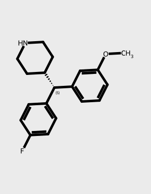 COc1cccc([C@H](c2ccc(F)cc2)C2CCNCC2)c1